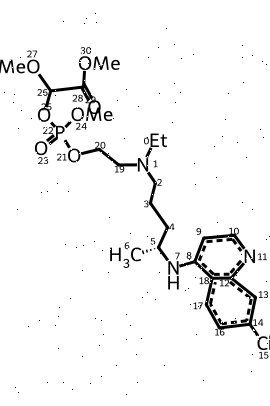 CCN(CCC[C@@H](C)Nc1ccnc2cc(Cl)ccc12)CCOP(=O)(OC)OC(OC)C(=O)OC